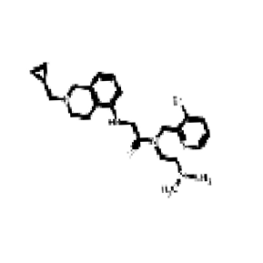 CN(C)CCN(Cc1ncccc1Br)C(=O)CNc1cccc2c1CCN(CC1CC1)C2